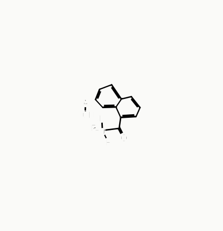 CC(C)=O.O=[C](c1cccc2ccccc12)[Eu]([F])([F])[F]